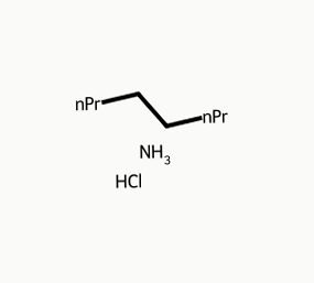 CCCCCCCC.Cl.N